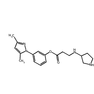 Cc1cc(C)n(-c2cccc(OC(=O)CCNC3CCNC3)c2)n1